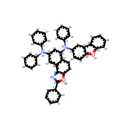 c1ccc(-c2nc3c(ccc4c(N(c5ccccc5)c5ccc6oc7ccccc7c6c5)cc(N(c5ccccc5)c5ccccc5)cc43)o2)cc1